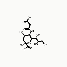 O=C(O)CC(=O)N[C@H]1C([C@H](O)[C@H](O)CO)O[C@](O)(C(=O)O)C[C@H]1O